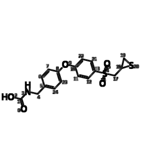 O=C(O)NCc1ccc(Oc2ccc(S(=O)(=O)CC3CS3)cc2)cc1